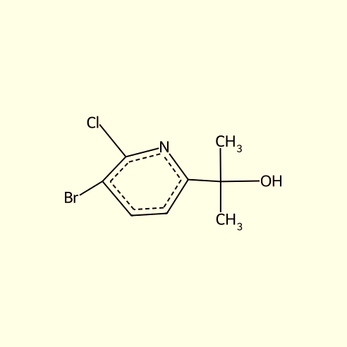 CC(C)(O)c1ccc(Br)c(Cl)n1